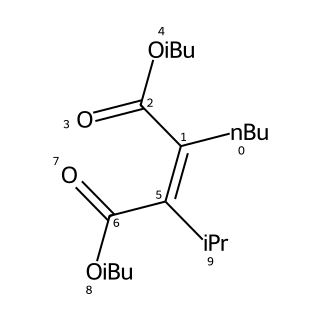 CCCC/C(C(=O)OCC(C)C)=C(/C(=O)OCC(C)C)C(C)C